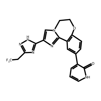 O=c1[nH]cccc1-c1ccc2c(c1)-c1nc(-c3nc(CC(F)(F)F)n[nH]3)cn1CCO2